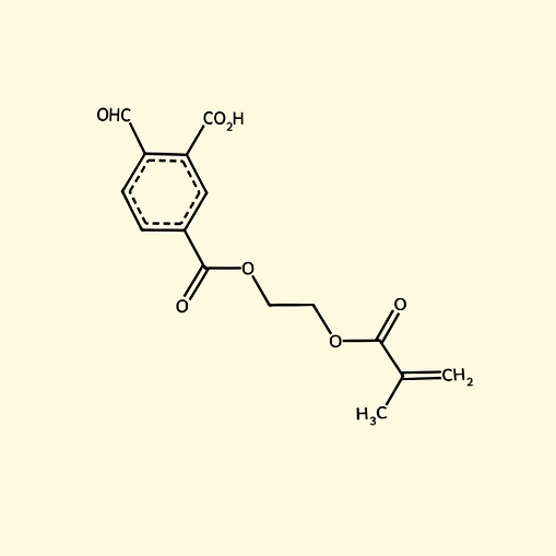 C=C(C)C(=O)OCCOC(=O)c1ccc(C=O)c(C(=O)O)c1